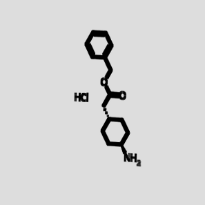 Cl.N[C@H]1CC[C@H](CC(=O)OCc2ccccc2)CC1